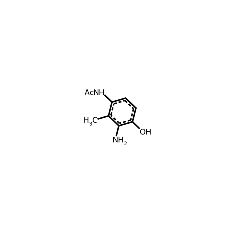 CC(=O)Nc1ccc(O)c(N)c1C